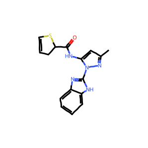 Cc1cc(NC(=O)C2CC=CS2)n(-c2nc3ccccc3[nH]2)n1